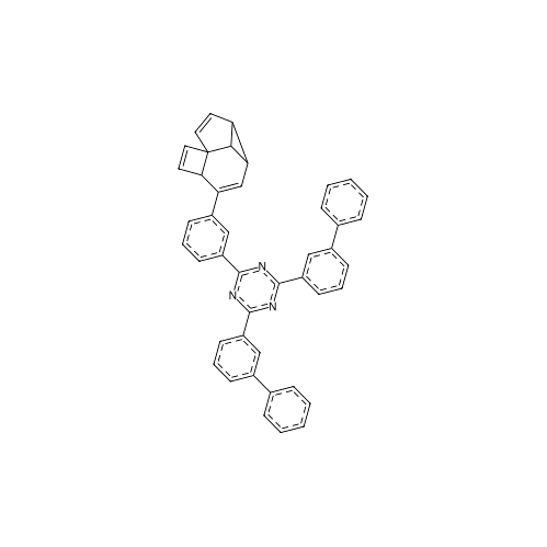 C1=CC23C=CC2C(c2cccc(-c4nc(-c5cccc(-c6ccccc6)c5)nc(-c5cccc(-c6ccccc6)c5)n4)c2)=CC2C1C23